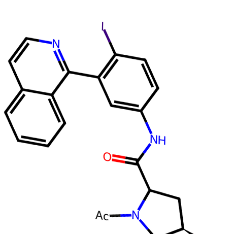 CC(=O)N1C[C@H](O)CC1C(=O)Nc1ccc(I)c(-c2nccc3ccccc23)c1